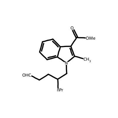 CCCC(CCC=O)Cn1c(C)c(C(=O)OC)c2ccccc21